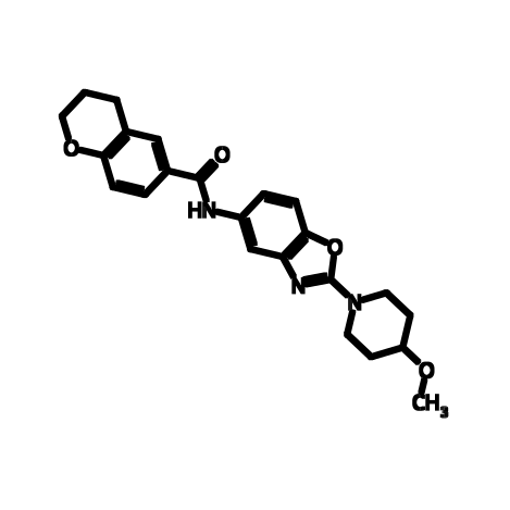 COC1CCN(c2nc3cc(NC(=O)c4ccc5c(c4)CCCO5)ccc3o2)CC1